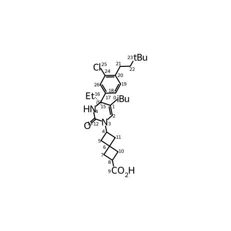 CCC(C)C1=CN(C2CC3(CC(C(=O)O)C3)C2)C(=O)N[C@@]1(CC)c1ccc(CCC(C)(C)C)c(Cl)c1